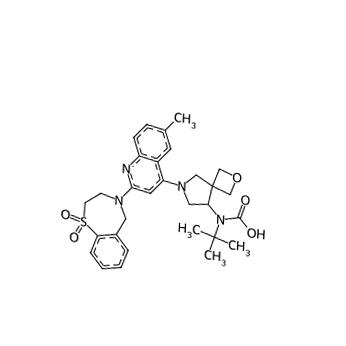 Cc1ccc2nc(N3CCS(=O)(=O)c4ccccc4C3)cc(N3CC(N(C(=O)O)C(C)(C)C)C4(COC4)C3)c2c1